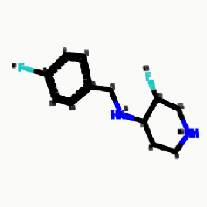 Fc1ccc(CN[C@@H]2CCNC[C@@H]2F)cc1